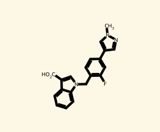 Cn1cc(-c2ccc(Cn3cc(C(=O)O)c4ccccc43)c(F)c2)cn1